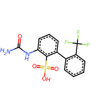 NC(=O)Nc1cccc(-c2ccccc2C(F)(F)F)c1S(=O)(=O)O